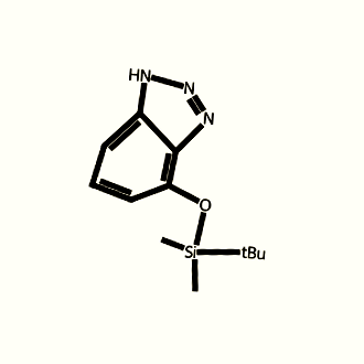 CC(C)(C)[Si](C)(C)Oc1cccc2[nH]nnc12